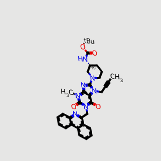 CC#CCn1c(N2CCC[C@@H](NC(=O)OC(C)(C)C)C2)nc2c1c(=O)n(Cc1nc3ccccc3c3ccccc13)c(=O)n2C